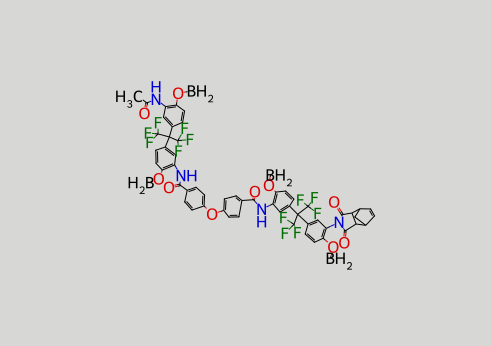 BOc1ccc(C(c2ccc(OB)c(NC(=O)c3ccc(Oc4ccc(C(=O)Nc5cc(C(c6ccc(OB)c(N7C(=O)C8C9C=CC(C9)C8C7=O)c6)(C(F)(F)F)C(F)(F)F)ccc5OB)cc4)cc3)c2)(C(F)(F)F)C(F)(F)F)cc1NC(C)=O